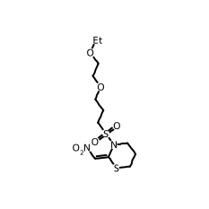 CCOCCOCCCS(=O)(=O)N1CCCSC1=C[N+](=O)[O-]